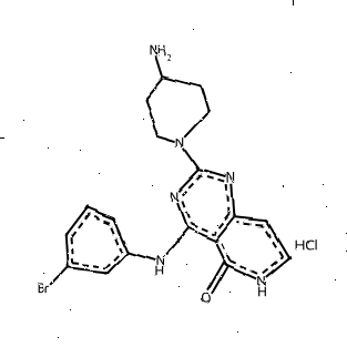 Cl.NC1CCN(c2nc(Nc3cccc(Br)c3)c3c(=O)[nH]ccc3n2)CC1